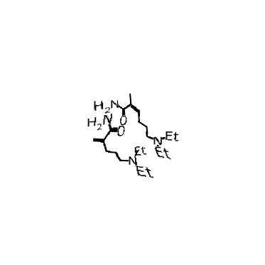 C=C(CCCN(CC)CC)C(N)=O.CCN(CC)CCCC=C(C)C(N)=O